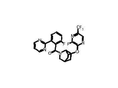 O=C(c1c(F)cccc1-c1ncccn1)N1CC2CCC1C(Oc1ncc(C(F)(F)F)nc1F)C2